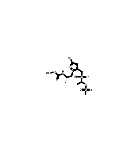 CC[N+](CC)(Cc1cc(Br)nn1C[C@H](C)NC(=O)OC(C)(C)C)C(C)OS(C)(=O)=O